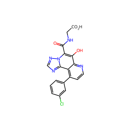 O=C(O)CNC(=O)c1c(O)c2nccc(-c3cccc(Cl)c3)c2c2ncnn12